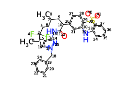 CCC(F)(F)CCC(C)CC(C(=O)Nc1ccn(Cc2ccccc2)n1)c1ccc2c(c1)Nc1ccccc1S2(=O)=O